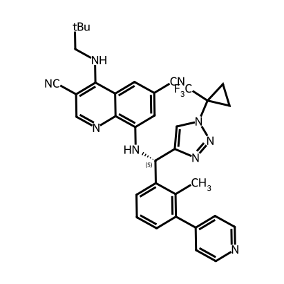 Cc1c(-c2ccncc2)cccc1[C@H](Nc1cc(C#N)cc2c(NCC(C)(C)C)c(C#N)cnc12)c1cn(C2(C(F)(F)F)CC2)nn1